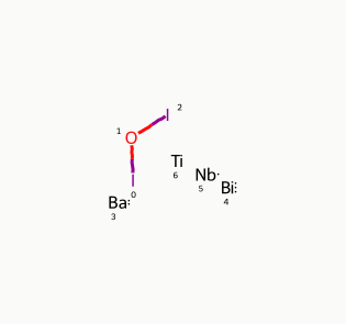 IOI.[Ba].[Bi].[Nb].[Ti]